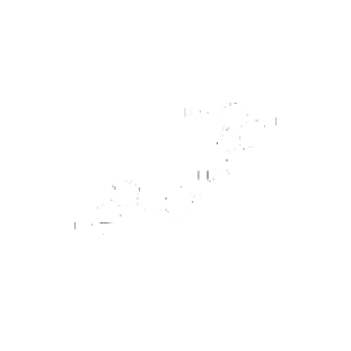 Cc1ccc(C)c2[nH]c(C(=O)NCC3CCN(Cc4cccc5c4OC(C)(C)C5)CC3)cc12